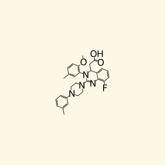 COc1ccc(C)cc1N1C(N2CCN(c3cccc(C)c3)CC2)=Nc2c(F)cccc2C1CC(=O)O